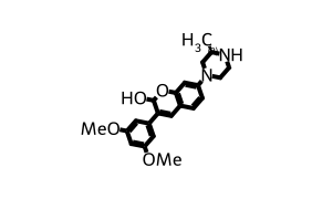 COc1cc(OC)cc(C2=Cc3ccc(N4CCN[C@H](C)C4)cc3OC2O)c1